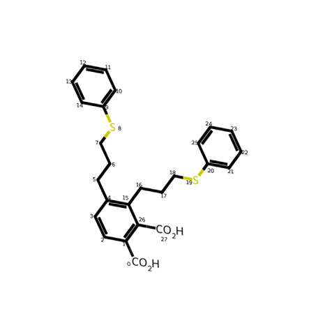 O=C(O)c1ccc(CCCSc2ccccc2)c(CCCSc2ccccc2)c1C(=O)O